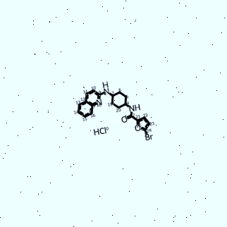 Cl.O=C(NC1CCC(Nc2ccc3ccccc3n2)CC1)c1ccc(Br)o1